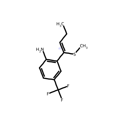 CC/C=C(\SC)c1cc(C(F)(F)F)ccc1N